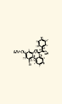 COc1ccc(-c2ccccc2C(=O)C(=O)c2ccccc2)c(C)c1